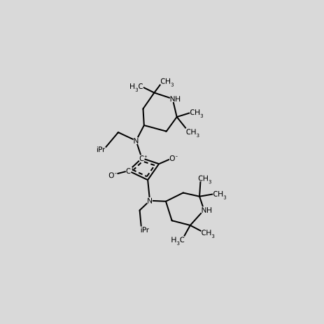 CC(C)CN(c1c([O-])[c+](N(CC(C)C)C2CC(C)(C)NC(C)(C)C2)[c+]1[O-])C1CC(C)(C)NC(C)(C)C1